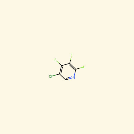 Fc1ncc(Cl)c(F)c1F